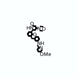 COc1ccc(CNc2ccc3c(c2)Cc2cccc(-c4cc(N5CCOCC5)cc(=O)[nH]4)c2O3)nc1